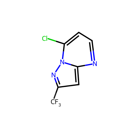 FC(F)(F)c1cc2nccc(Cl)n2n1